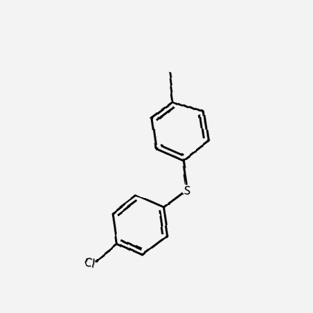 Cc1ccc(Sc2ccc(Cl)cc2)cc1